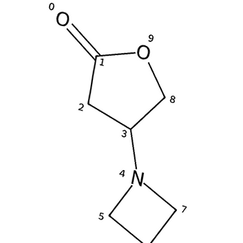 O=C1CC(N2CCC2)CO1